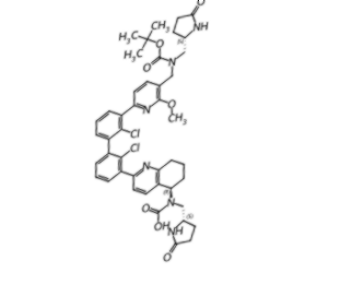 COc1nc(-c2cccc(-c3cccc(-c4ccc5c(n4)CCC[C@H]5N(C[C@@H]4CCC(=O)N4)C(=O)O)c3Cl)c2Cl)ccc1CN(C[C@@H]1CCC(=O)N1)C(=O)OC(C)(C)C